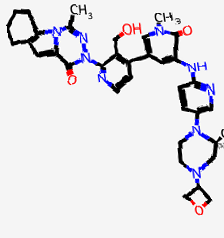 Cc1nn(-c2nccc(-c3cc(Nc4ccc(N5CCN(C6COC6)C[C@@H]5C)cn4)c(=O)n(C)c3)c2CO)c(=O)c2cc3c(n12)CCCC3